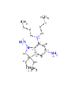 CCCCN(CCCC)c1cc(N)cc2c1N(N)CC2(CC)CC